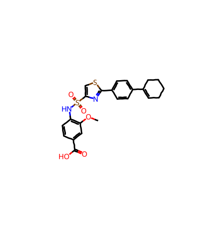 COc1cc(C(=O)O)ccc1NS(=O)(=O)c1csc(-c2ccc(C3=CCCCC3)cc2)n1